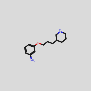 Nc1cccc(OCCCC2CCCNC2)c1